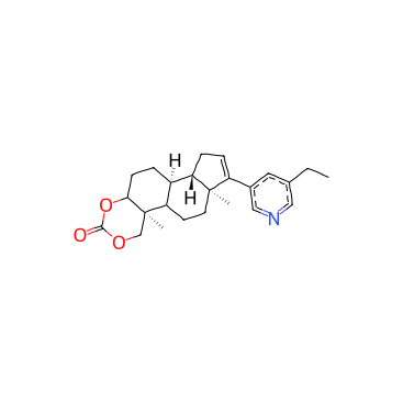 CCc1cncc(C2=CC[C@H]3[C@@H]4CCC5OC(=O)OC[C@]5(C)C4CC[C@]23C)c1